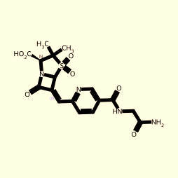 CC1(C)[C@H](C(=O)O)N2C(=O)/C(=C/c3ccc(C(=O)NCC(N)=O)cn3)C2S1(=O)=O